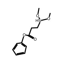 CO[SiH](CCC(=O)Oc1ccccc1)OC